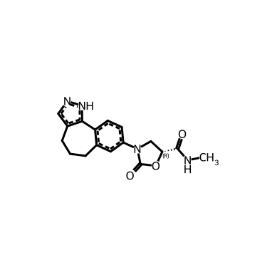 CNC(=O)[C@H]1CN(c2ccc3c(c2)CCCc2cn[nH]c2-3)C(=O)O1